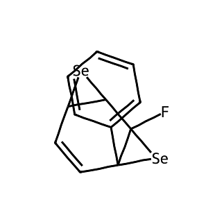 FC12[Se]C1(c1ccccc1)C=CC1[Se]C12